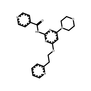 O=C(Nc1nc(OCCc2ccccn2)cc(N2CCOCC2)n1)c1ccncc1